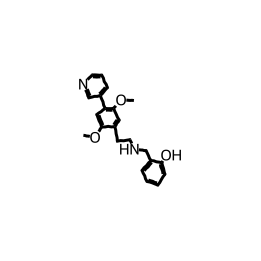 COc1cc(-c2cccnc2)c(OC)cc1CCNCc1ccccc1O